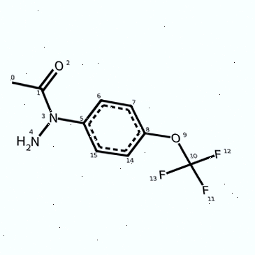 CC(=O)N(N)c1ccc(OC(F)(F)F)cc1